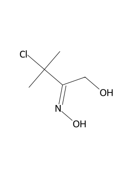 CC(C)(Cl)C(CO)=NO